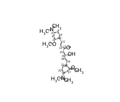 COc1cc(N(C)C)ccc1/C=C/C(=O)/C=C(O)/C=C/c1ccc(N(C)C)cc1OC